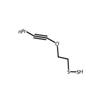 CCCC#COCCSS